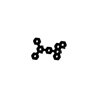 c1ccc(-c2cc(-c3ccccc3)nc(-c3ccc(-c4c5ccccc5nc5c4ccc4cccnc45)cc3)n2)cc1